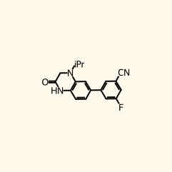 CC(C)N1CC(=O)Nc2ccc(-c3cc(F)cc(C#N)c3)cc21